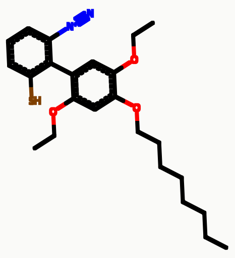 CCCCCCCCOc1cc(OCC)c(-c2c(S)cccc2[N+]#N)cc1OCC